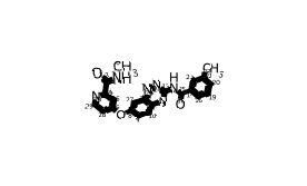 CNC(=O)c1cc(Oc2ccc3nc(NC(=O)c4cccc(C)c4)nnc3c2)ccn1